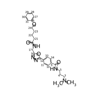 CN(C)CCCNC(=O)c1ccc(-c2nnc(CNC(=O)CCCCOc3ccccc3)o2)cc1